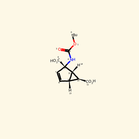 CC(C)(C)OC(=O)N[C@@]1(C(=O)O)C=C[C@H]2[C@H](C(=O)O)[C@H]21